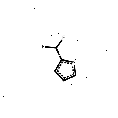 FC(F)c1c[c]cs1